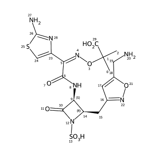 CC(C)(ON=C(C(=O)N[C@@H]1C(=O)N(S(=O)(=O)O)[C@@H]1Cc1cc(CN)on1)c1csc(N)n1)C(=O)O